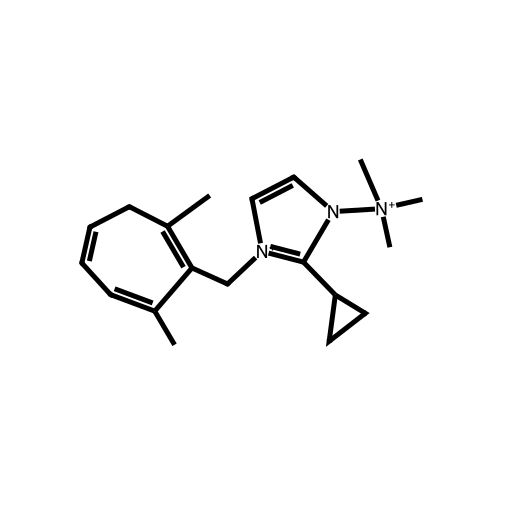 CC1=CC=CCC(C)=C1C[n+]1ccn([N+](C)(C)C)c1C1CC1